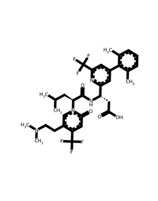 Cc1cccc(C)c1-c1cc([C@H](CC(=O)O)NC(=O)[C@H](CC(C)C)n2cc(CCN(C)C)c(C(F)(F)F)cc2=O)nc(C(F)(F)F)c1